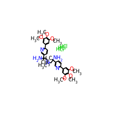 COc1cc(-c2ccc(C(C)(N)CN(C)CC(C)(N)c3ccc(-c4cc(OC)c(OC)c(OC)c4)nc3)cn2)cc(OC)c1OC.Cl.Cl.Cl